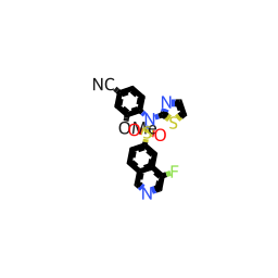 COc1cc(C#N)ccc1N(c1nccs1)S(=O)(=O)c1ccc2cncc(F)c2c1